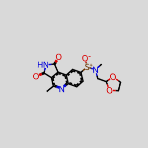 Cc1nc2ccc([S+]([O-])N(C)CC3OCCO3)cc2c2c1C(=O)NC2=O